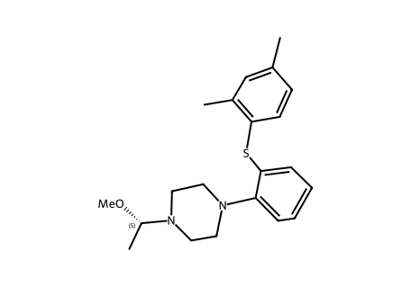 CO[C@@H](C)N1CCN(c2ccccc2Sc2ccc(C)cc2C)CC1